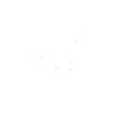 COc1ccc([C@H]2CC[C@H](CN(c3cc(-c4coc(C5CC5)n4)ccn3)C(=O)[C@H]3CC[C@H](CC(=O)N4CC(S(C)(=O)=O)C4)CC3)CC2)nc1C